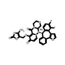 Cc1oc(=O)oc1COc1c2n(ccc1=O)N([C@@H]1c3ccccc3-c3occc3-c3c1ccc(F)c3F)[C@@H]1COCCN1C2=O